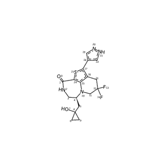 O=C1NC[C@H](CC2(O)CC2)N2CC(F)(F)Cc3c(-c4cn[nH]c4)sc1c32